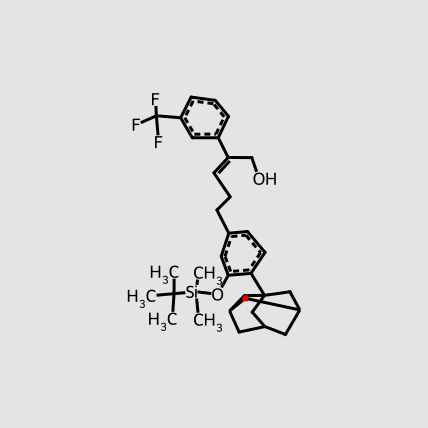 CC(C)(C)[Si](C)(C)Oc1cc(CCC=C(CO)c2cccc(C(F)(F)F)c2)ccc1C12CC3CC(CC(C3)C1)C2